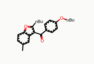 CCCCOc1ccc(C(=O)c2c(CCCC)oc3ccc(C)cc23)cc1